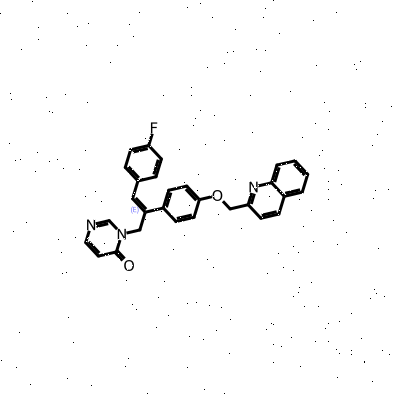 O=c1ccncn1C/C(=C/c1ccc(F)cc1)c1ccc(OCc2ccc3ccccc3n2)cc1